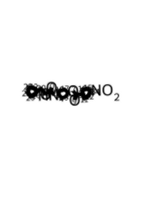 O=C(N[C@H]1CC[C@@H](OC(=O)c2ccc([N+](=O)[O-])cc2)CC1)OCc1ccccc1